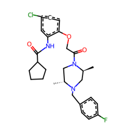 C[C@@H]1CN(C(=O)COc2ccc(Cl)cc2NC(=O)C2CCCC2)[C@@H](C)CN1Cc1ccc(F)cc1